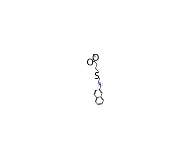 COC(=O)CCCSC/C=C/c1ccc2ccccc2c1